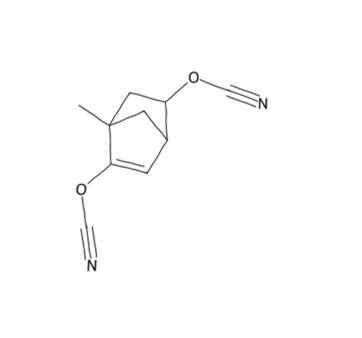 CC12CC(C=C1OC#N)C(OC#N)C2